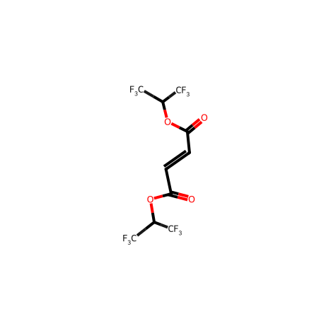 O=C(C=CC(=O)OC(C(F)(F)F)C(F)(F)F)OC(C(F)(F)F)C(F)(F)F